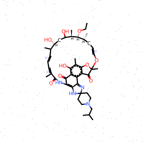 CCO[C@@H]1[C@H](C)C/C=C/OC2(C)Oc3c(C)c(O)c4c(c3C2=O)C2=NC3(CCN(CC(C)C)CC3)NC2=C(NC(=O)/C(C)=C\C=C\C(C)[C@H](O)CC(O)[C@H]1C)C4=O